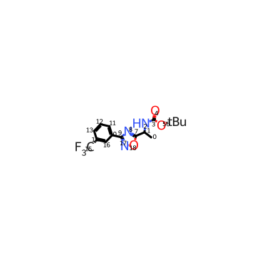 CC(NC(=O)OC(C)(C)C)c1nc(-c2cccc(C(F)(F)F)c2)no1